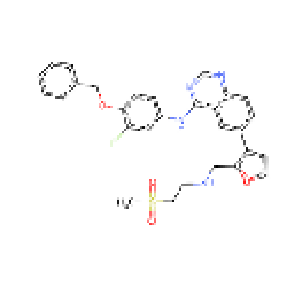 CS(=O)(=O)CCNCc1occc1-c1ccc2ncnc(Nc3ccc(OCc4ccccc4)c(F)c3)c2c1